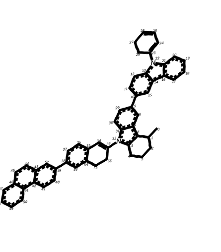 CC1CCCc2c1c1cc(-c3ccc4c(c3)c3ccccc3n4C3=CC=CCC3)ccc1n2C1=Cc2ccc(-c3ccc4c(ccc5ccccc54)c3)cc2CC1